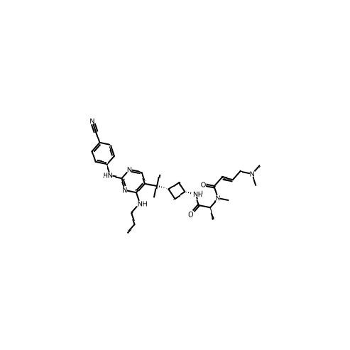 CCCNc1nc(Nc2ccc(C#N)cc2)ncc1C(C)(C)[C@H]1C[C@@H](NC(=O)[C@H](C)N(C)C(=O)/C=C/CN(C)C)C1